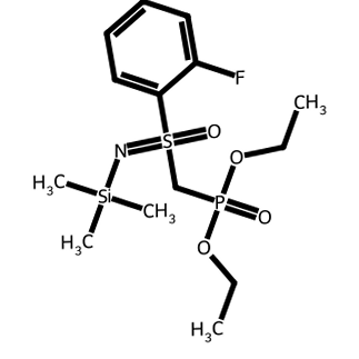 CCOP(=O)(CS(=O)(=N[Si](C)(C)C)c1ccccc1F)OCC